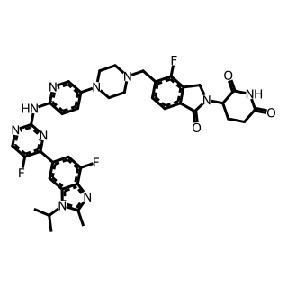 Cc1nc2c(F)cc(-c3nc(Nc4ccc(N5CCN(Cc6ccc7c(c6F)CN(C6CCC(=O)NC6=O)C7=O)CC5)cn4)ncc3F)cc2n1C(C)C